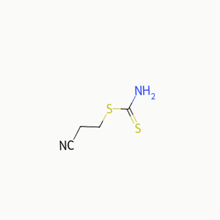 N#CCCSC(N)=S